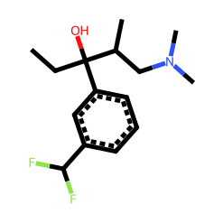 CCC(O)(c1cccc(C(F)F)c1)C(C)CN(C)C